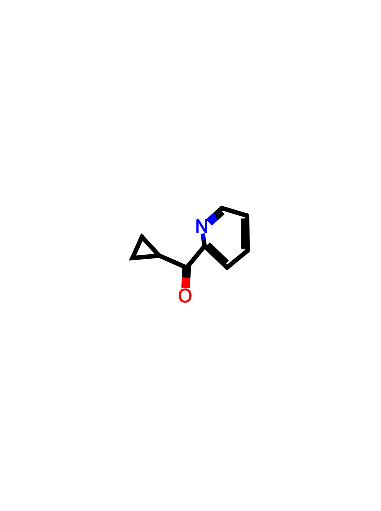 O=C(c1ccccn1)C1CC1